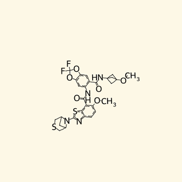 COc1ccc2nc(N3C4CSCC3C4)sc2c1C(=O)Nc1cc2c(cc1C(=O)NC13CC(OC)(C1)C3)OC(F)(F)O2